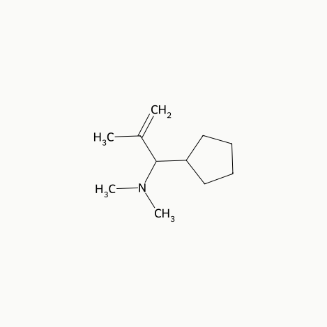 C=C(C)C(C1CCCC1)N(C)C